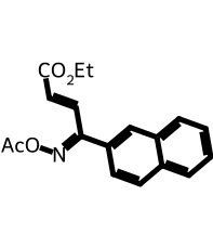 CCOC(=O)C=CC(=NOC(C)=O)c1ccc2ccccc2c1